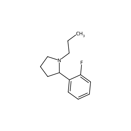 CCCN1CCCC1c1ccccc1F